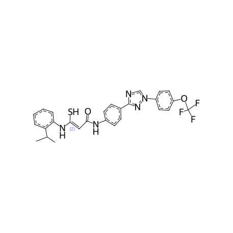 CC(C)c1ccccc1N/C(S)=C/C(=O)Nc1ccc(-c2ncn(-c3ccc(OC(F)(F)F)cc3)n2)cc1